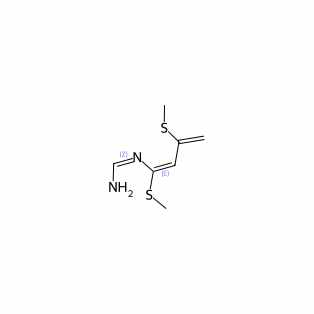 C=C(/C=C(\N=C/N)SC)SC